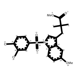 COC(=O)C(C)(C)Cc1cn(S(=O)(=O)c2ccc(Cl)c(Cl)c2)c2ccc(OC)cc12